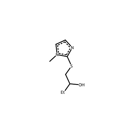 CCC(O)CSc1nccn1C